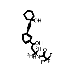 [2H]C([2H])(CC(O)c1cccc(C#CC2(O)CCCCC2)c1)NC(=O)C(F)(F)F